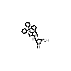 OC[C@H]1CNC[C@@H](Nc2ncnc3c2ccn3C(c2ccccc2)(c2ccccc2)c2ccccc2)C1